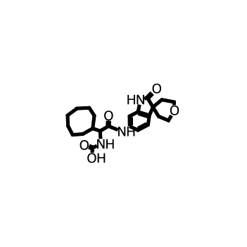 O=C(O)NC(C(=O)Nc1ccc2c(c1)NC(=O)C21CCOCC1)C1CCCCCCC1